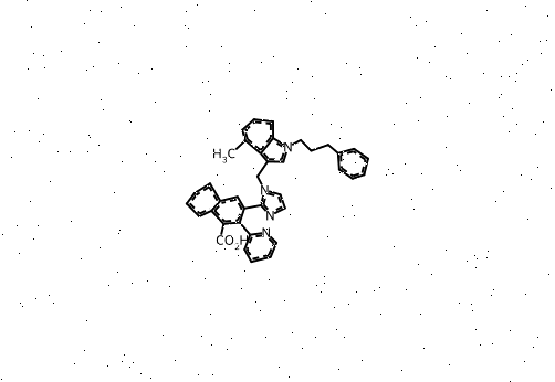 Cc1cccc2c1c(Cn1ccnc1-c1cc3ccccc3c(C(=O)O)c1-c1ccccn1)cn2CCCc1ccccc1